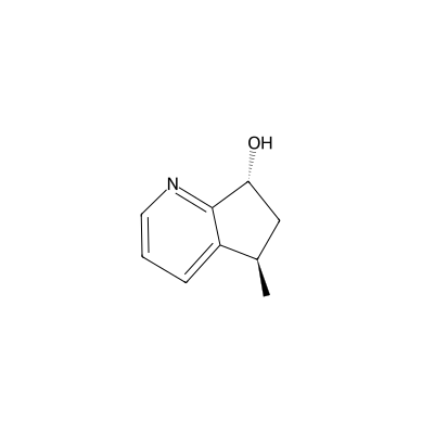 C[C@@H]1C[C@@H](O)c2ncccc21